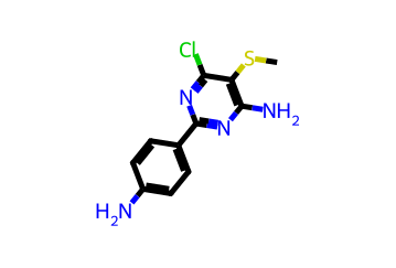 CSc1c(N)nc(-c2ccc(N)cc2)nc1Cl